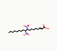 CCCCCCCCC(C(CCCCC/C=C/C(=O)O)[N+](=O)[O-])[N+](=O)[O-]